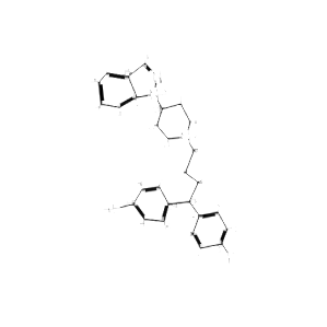 Fc1ccc(C(CCCN2CCC(n3ncc4ccccc43)CC2)c2ccc(F)cc2)cc1